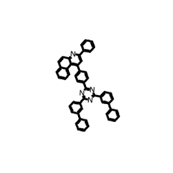 c1ccc(-c2cccc(-c3nc(-c4ccc(-c5cc(-c6ccccc6)nc6ccc7ccccc7c56)cc4)nc(-c4cccc(-c5ccccc5)c4)n3)c2)cc1